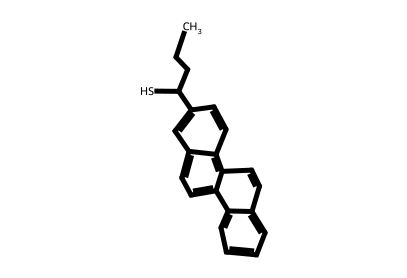 CCCC(S)c1ccc2c(ccc3c4ccccc4ccc23)c1